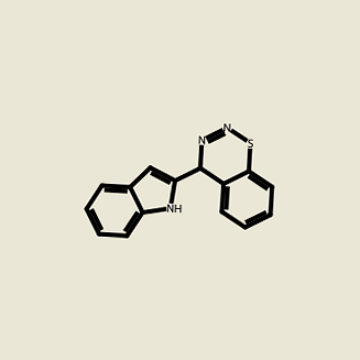 c1ccc2c(c1)SN=NC2c1cc2ccccc2[nH]1